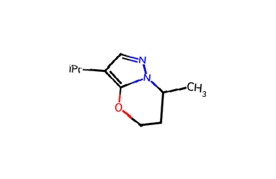 CC(C)c1cnn2c1OCCC2C